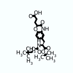 CC(C)(C)COC(=O)N[C@@H](Cc1ccc2c(c1)NC(=O)C(CCC(=O)O)O2)C(=O)OC(C)(C)C